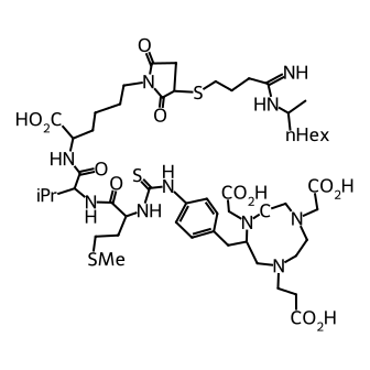 CCCCCCC(C)NC(=N)CCCSC1CC(=O)N(CCCCC(NC(=O)C(NC(=O)C(CCSC)NC(=S)Nc2ccc(CC3CN(CCC(=O)O)CCN(CC(=O)O)CCN3CC(=O)O)cc2)C(C)C)C(=O)O)C1=O